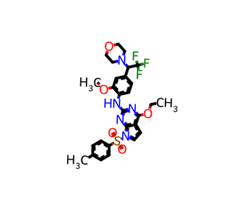 CCOc1nc(Nc2ccc(C(N3CCOCC3)C(F)(F)F)cc2OC)nc2c1ccn2S(=O)(=O)c1ccc(C)cc1